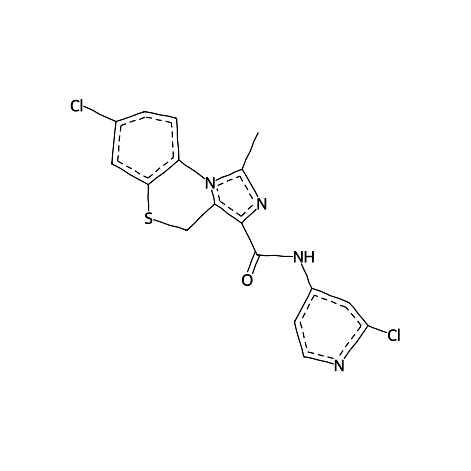 Cc1nc(C(=O)Nc2ccnc(Cl)c2)c2n1-c1ccc(Cl)cc1SC2